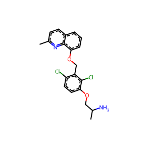 Cc1ccc2cccc(OCc3c(Cl)ccc(OCC(C)N)c3Cl)c2n1